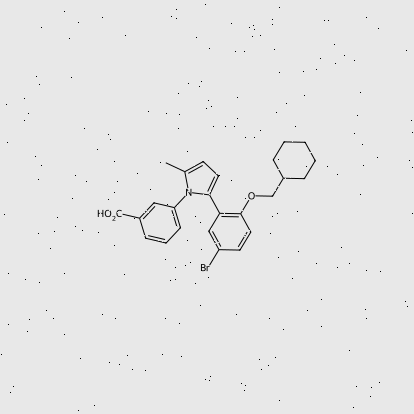 Cc1ccc(-c2cc(Br)ccc2OCC2CCCCC2)n1-c1cccc(C(=O)O)c1